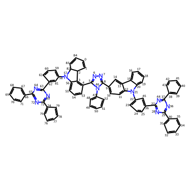 C1=CC2c3c(-c4nnc(-c5ccc6c(c5)c5ccccc5n6-c5cccc(-c6nc(-c7ccccc7)nc(-c7ccccc7)n6)c5)n4-c4ccccc4)cccc3N(c3cccc(-c4nc(-c5ccccc5)nc(-c5ccccc5)n4)c3)C2C=C1